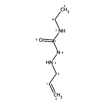 C=CCN[N]C(=O)NCC